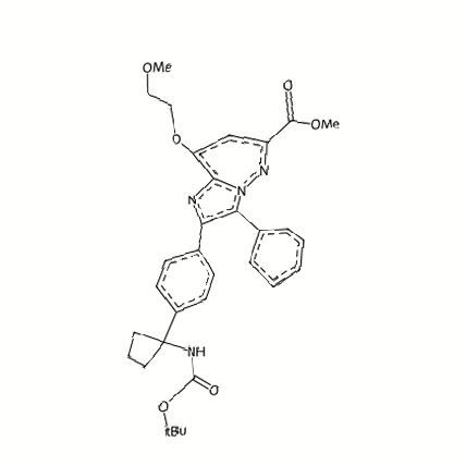 COCCOc1cc(C(=O)OC)nn2c(-c3ccccc3)c(-c3ccc(C4(NC(=O)OC(C)(C)C)CCC4)cc3)nc12